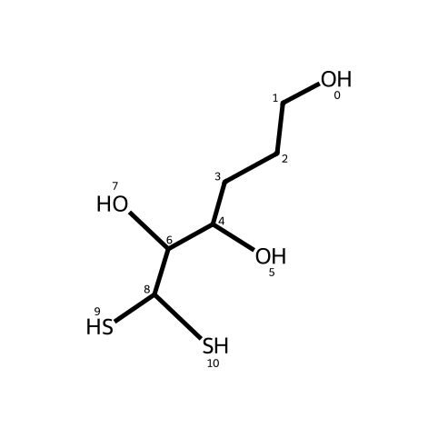 OCCCC(O)C(O)C(S)S